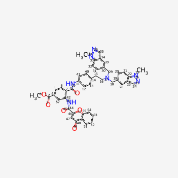 COC(=O)c1ccc(C(=O)Nc2ccc(CCN(Cc3ccc4c(cnn4C)c3)Cc3ccc4c(cnn4C)c3)cc2)c(NC(=O)c2cc(=O)c3ccccc3o2)c1